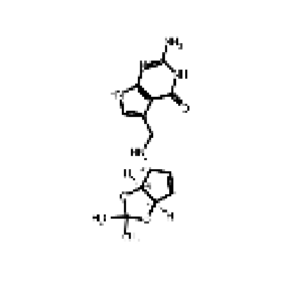 CC1(C)O[C@H]2[C@H](NCc3c[nH]c4nc(N)[nH]c(=O)c34)C=C[C@H]2O1